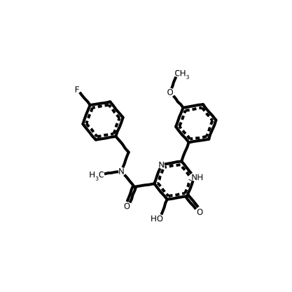 COc1cccc(-c2nc(C(=O)N(C)Cc3ccc(F)cc3)c(O)c(=O)[nH]2)c1